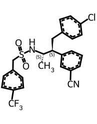 C[C@H](NS(=O)(=O)Cc1ccc(C(F)(F)F)cc1)[C@@H](Cc1ccc(Cl)cc1)c1cccc(C#N)c1